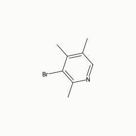 Cc1cnc(C)c(Br)c1C